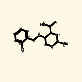 CC(O)[C@H]1O[C@@H](C(C)(C)C)OC[C@H]1OCc1ccccc1Cl